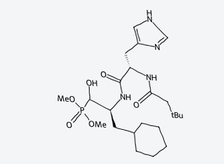 COP(=O)(OC)C(O)[C@H](CC1CCCCC1)NC(=O)[C@H](Cc1c[nH]cn1)NC(=O)CC(C)(C)C